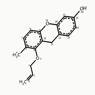 C=CCOc1c(C)ccc2c1Cc1ccc(O)cc1O2